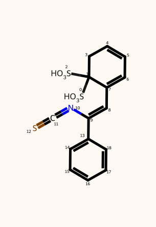 O=S(=O)(O)C1(S(=O)(=O)O)CC=CC=C1C=C(N=C=S)c1ccccc1